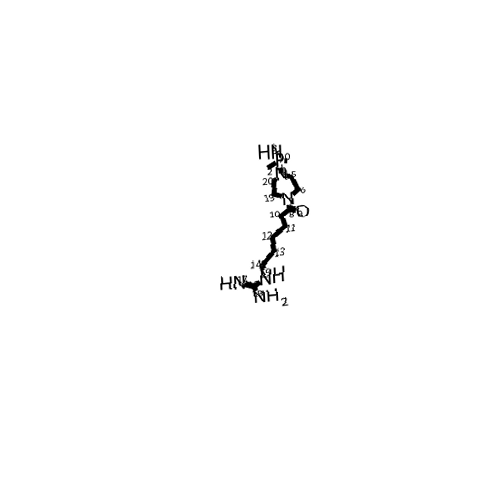 CP(C)(=N)N1CCN(C(=O)CCCCCNC(=N)N)CC1